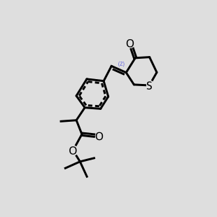 CC(C(=O)OC(C)(C)C)c1ccc(/C=C2\CSCCC2=O)cc1